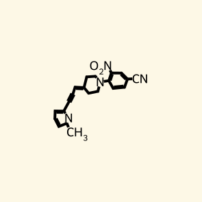 Cc1cccc(C#CC=C2CCN(c3ccc(C#N)cc3[N+](=O)[O-])CC2)n1